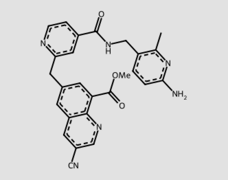 COC(=O)c1cc(Cc2cc(C(=O)NCc3ccc(N)nc3C)ccn2)cc2cc(C#N)cnc12